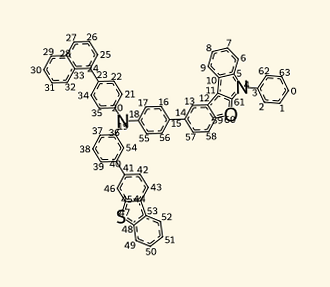 c1ccc(-n2c3ccccc3c3c4cc(-c5ccc(N(c6ccc(-c7cccc8ccccc78)cc6)c6cccc(-c7ccc8c(c7)sc7ccccc78)c6)cc5)ccc4oc32)cc1